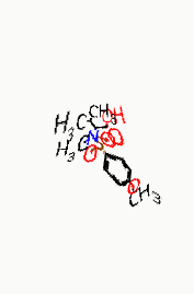 COc1ccc(S(=O)(=O)N(C)C(C(=O)O)C(C)C)cc1